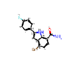 NC(=O)c1ccc(Br)c2cc(-c3ccc(F)cc3)[nH]c12